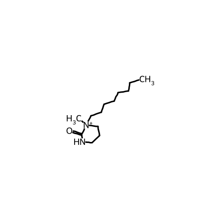 CCCCCCCC[N+]1(C)CCCNC1=O